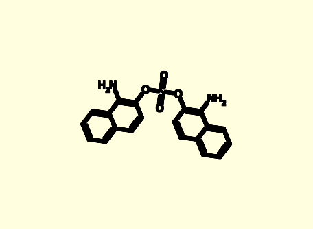 Nc1c(OS(=O)(=O)Oc2ccc3ccccc3c2N)ccc2ccccc12